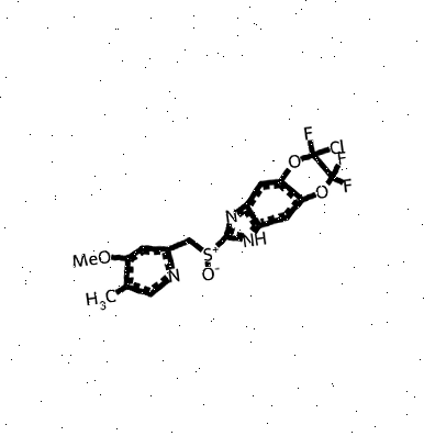 COc1cc(C[S+]([O-])c2nc3cc4c(cc3[nH]2)OC(F)(F)C(F)(Cl)O4)ncc1C